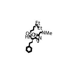 CCN(CC)CCCS(=O)(=O)N[C@H](CCc1ccccc1)c1nc(CNC)nn1C